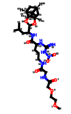 COCCOCC(=O)NCC(=O)NCCCC(NC(=N)N[N+](=O)[O-])C(=O)NC(CC(C)C)B1O[C@@H]2C[C@@H]3C[C@@H](C3(C)C)[C@]2(C)O1